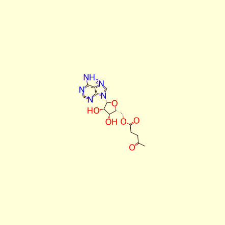 CC(=O)CCC(=O)OC[C@H]1O[C@@H](n2cnc3c(N)ncnc32)[C@H](O)[C@@H]1O